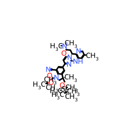 Cc1cnc(CCC(=O)N(C)C)c(Nc2nccc(-c3cc(C#N)c4c(c3)[C@@](C)(CO[Si](C)(C)C(C)(C)C)CN4C(=O)OC(C)(C)C)n2)c1